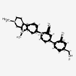 CN1CCc2c(n(C)c3cc(-n4ccc(-c5ccc(CO)cc5F)cc4=O)ccc23)C1